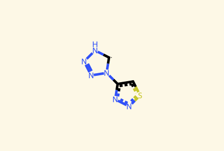 [CH]1NN=NN1c1csnn1